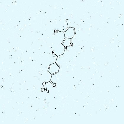 COC(=O)c1ccc([C@@H](F)Cn2cc3c(Br)c(F)ccc3n2)cc1